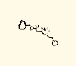 NC(=CC(=O)OCc1ccccc1)COCCN1CCCCC1